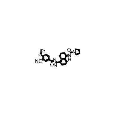 CC(C)Oc1ccc(-c2nc(-c3cccc4c3CCC[C@@H]4NC(=O)N3CCCC3)no2)cc1C#N